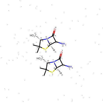 CC1(C)S[C@@H]2C(N)C(=O)N2[C@H]1C(=O)O.CC1(C)S[C@@H]2C(N)C(=O)N2[C@H]1C(=O)O